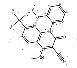 CNc1c(C#N)c(=O)n(-c2ccccc2OC)c2nc(C(F)(F)F)ccc12